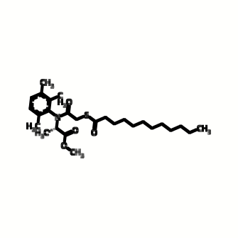 CCCCCCCCCCCC(=O)SCC(=O)N(c1c(C)ccc(C)c1C)[C@@H](C)C(=O)OC